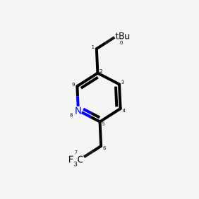 CC(C)(C)Cc1ccc(CC(F)(F)F)nc1